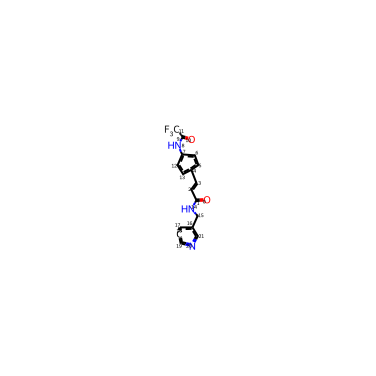 O=C(/C=C/c1ccc(NC(=O)C(F)(F)F)cc1)NCc1cccnc1